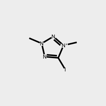 Cn1nc(I)[n+](C)n1